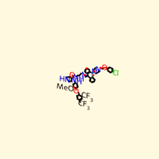 COc1cc(NC2(C(=O)NCCCn3cc(-c4ccccc4F)c4c(CN5CCN(CCOc6ccc(Cl)cc6)CC5)cccc43)CCNCC2)ccc1OCc1ccc(C(F)(F)F)cc1C(F)(F)F